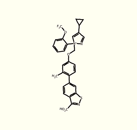 Cc1cc(OC[N+]2(c3ccccc3OC(F)(F)F)C=C(C3CC3)C=N2)ccc1-c1ccc2c(C(=O)O)nsc2c1